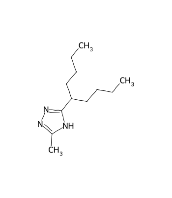 CCCCC(CCCC)c1nnc(C)[nH]1